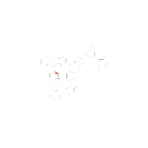 O=S(=O)(Oc1c(N(c2ccccc2)c2ccccc2)cccc1N(c1ccc(-c2cccc3c2sc2ccccc23)cc1)c1ccc(-c2cccc3c2sc2ccccc23)cc1)C(F)(F)F